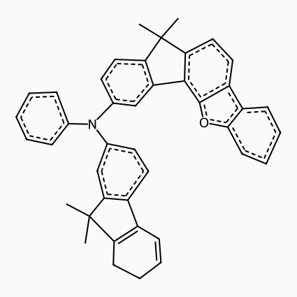 CC1(C)C2=C(C=CCC2)c2ccc(N(c3ccccc3)c3ccc4c(c3)-c3c(ccc5c3oc3ccccc35)C4(C)C)cc21